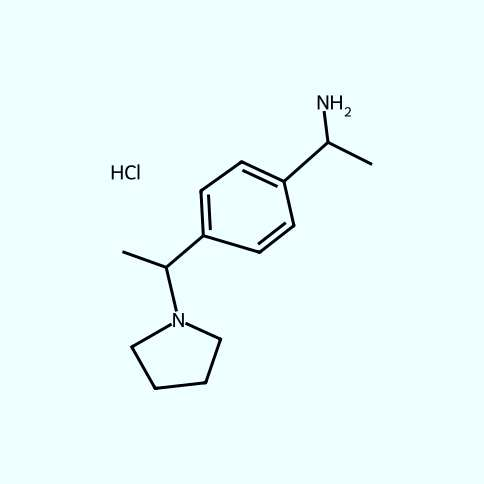 CC(N)c1ccc(C(C)N2CCCC2)cc1.Cl